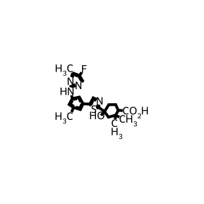 Cc1cc(Nc2ncc(F)c(C)n2)cc(-c2cnc(C3(O)CCC(C(=O)O)C(C)(C)C3)s2)c1